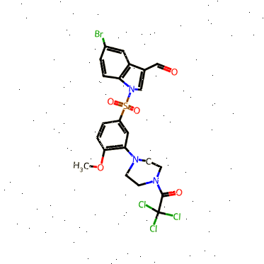 COc1ccc(S(=O)(=O)n2cc(C=O)c3cc(Br)ccc32)cc1N1CCN(C(=O)C(Cl)(Cl)Cl)CC1